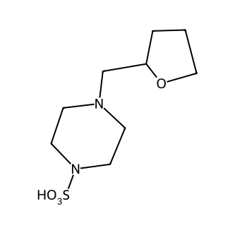 O=S(=O)(O)N1CCN(CC2CCCO2)CC1